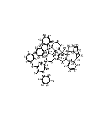 CC1C(Cc2ccccc2)=NC(C2CCC3C4C(C5(C)CCCC6C7=CC=CCC7C7CC8C=C9CC(C65)C98C7)CCCC4C4(c5ccccc5-c5ccccc54)C3C2)=N[C@@H]1c1ccccc1